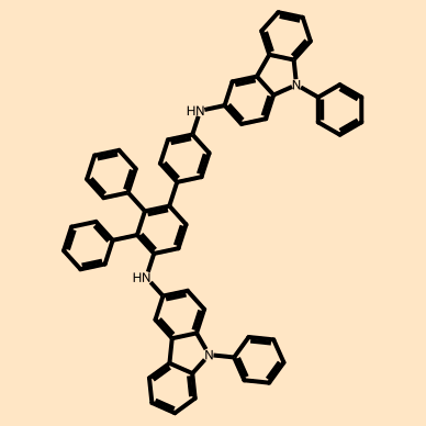 c1ccc(-c2c(Nc3ccc4c(c3)c3ccccc3n4-c3ccccc3)ccc(-c3ccc(Nc4ccc5c(c4)c4ccccc4n5-c4ccccc4)cc3)c2-c2ccccc2)cc1